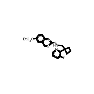 CCOC(=O)c1ccc2nc(SNCC3(c4ncccc4F)CCC3)ncc2c1